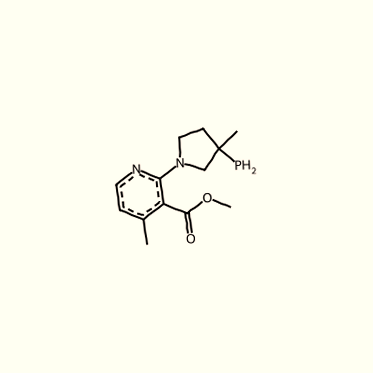 COC(=O)c1c(C)ccnc1N1CCC(C)(P)C1